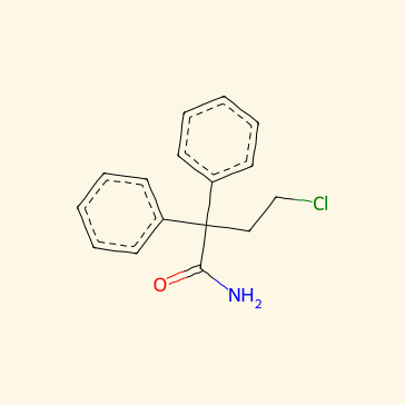 NC(=O)C(CCCl)(c1ccccc1)c1ccccc1